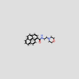 O=C(NCCN1CCOCC1)c1ccc2ccc3cccc4ccc1c2c34